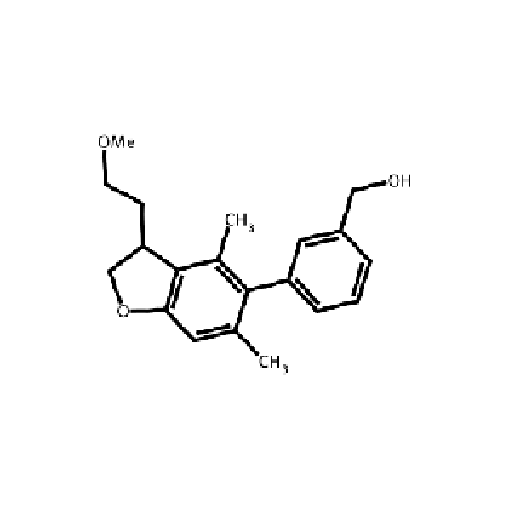 COCCC1COc2cc(C)c(-c3cccc(CO)c3)c(C)c21